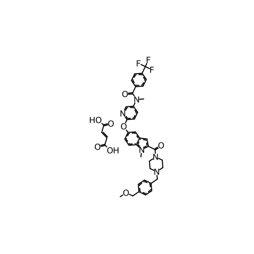 COCc1ccc(CN2CCN(C(=O)c3cc4cc(Oc5ccc(N(C)C(=O)c6ccc(C(F)(F)F)cc6)cn5)ccc4n3C)CC2)cc1.O=C(O)C=CC(=O)O